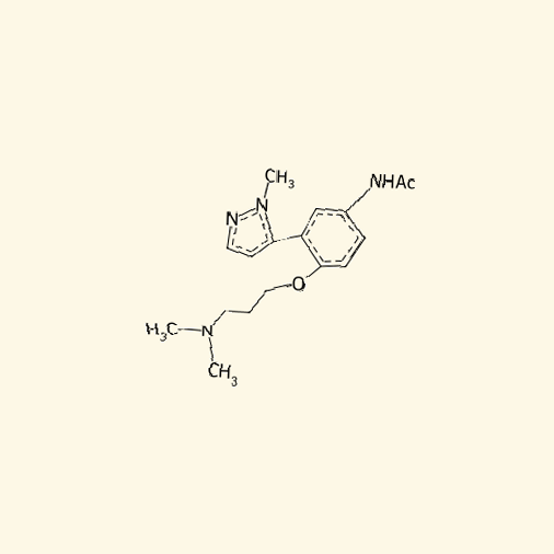 CC(=O)Nc1ccc(OCCCN(C)C)c(-c2ccnn2C)c1